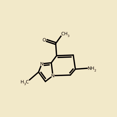 CC(=O)c1cc(N)cn2cc(C)nc12